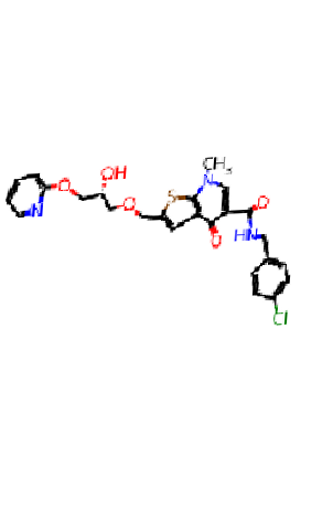 Cn1cc(C(=O)NCc2ccc(Cl)cc2)c(=O)c2cc(COC[C@@H](O)COc3ccccn3)sc21